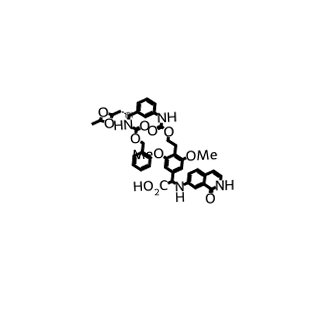 COc1cc(C(Nc2ccc3cc[nH]c(=O)c3c2)C(=O)O)cc(OC)c1CCOC(=O)Nc1cccc([C@@H](CC2OC(C)O2)NC(=O)OCc2ccccc2)c1